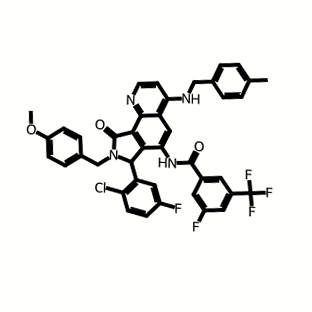 COc1ccc(CN2C(=O)c3c(c(NC(=O)c4cc(F)cc(C(F)(F)F)c4)cc4c(NCc5ccc(C)cc5)ccnc34)C2c2cc(F)ccc2Cl)cc1